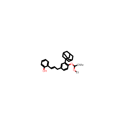 CCOC(OC)Oc1ccc(CC=Cc2ccccc2O)cc1C12CC3CC(CC(C3)C1)C2